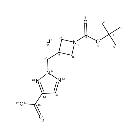 CC(C)(C)OC(=O)N1CC(Cn2ncc(C(=O)[O-])n2)C1.[Li+]